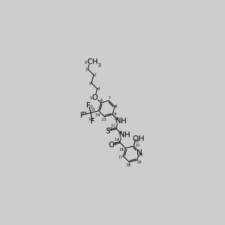 CCCCCOc1ccc(NC(=S)NC(=O)c2cccnc2O)cc1C(F)(F)F